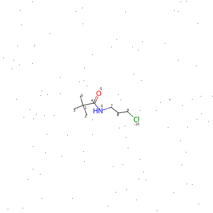 CC(C)(C)C(=O)NCCCCl